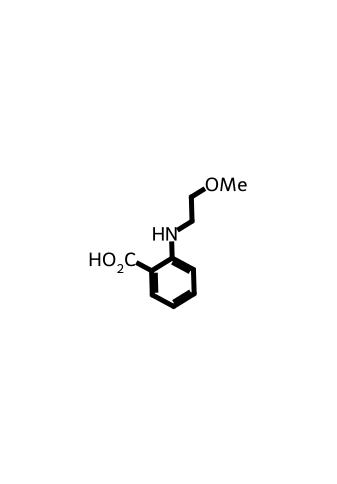 COCCNc1ccccc1C(=O)O